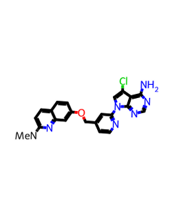 CNc1ccc2ccc(OCc3ccnc(-n4cc(Cl)c5c(N)ncnc54)c3)cc2n1